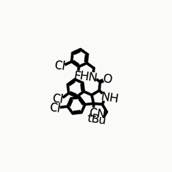 CC(C)(C)CC1NC(C(=O)NCc2cccc(Cl)c2F)C(c2cccc(Cl)c2)C1(C#N)c1ccc(Cl)cc1